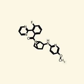 COc1ccc(NC2CC3CC2N(C(=O)c2cccc(F)c2-c2ncccn2)C3)nc1